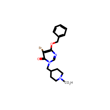 O=C(O)N1CCC(Cn2cnc(OCc3ccccc3)c(Br)c2=O)CC1